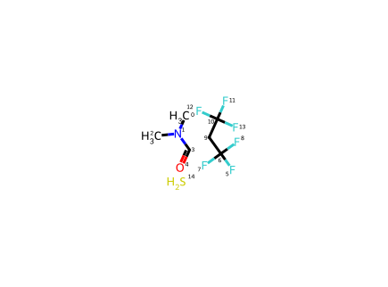 CN(C)C=O.FC(F)(F)CC(F)(F)F.S